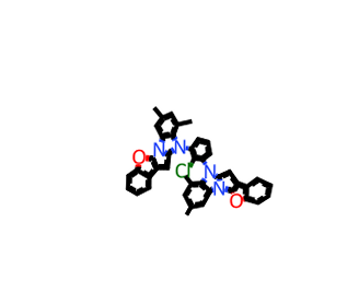 Cc1cc(C)c2c(c1)n1c3oc4ccccc4c3cc1n2-c1cccc(-n2c3c(C)cc(C)cc3n3c4oc5ccccc5c4cc23)c1Cl